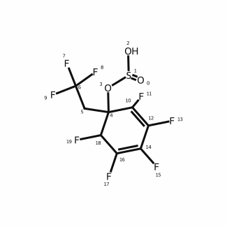 O=S(O)OC1(CC(F)(F)F)C(F)=C(F)C(F)=C(F)C1F